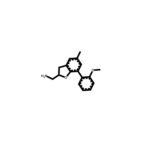 COc1ccccc1-c1cc(C)cc2c1OC(CN)C2